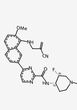 C=C(C#N)CNc1c(OC)ccc2ccc(-c3ccnc(C(=O)N[C@H]4CCN(C)C[C@H]4F)n3)cc12